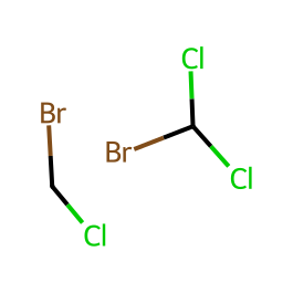 ClC(Cl)Br.ClCBr